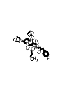 CCCCOc1c(C(=O)NCC(=O)Cc2ccc(F)cc2)nc2c(N3CCOC3=O)cc(N3CCOCC3)cn2c1=O